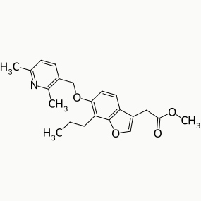 CCCc1c(OCc2ccc(C)nc2C)ccc2c(CC(=O)OC)coc12